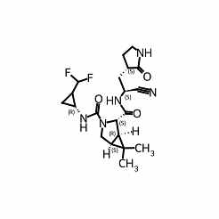 CC1(C)[C@@H]2[C@@H](C(=O)N[C@H](C#N)C[C@@H]3CCNC3=O)N(C(=O)N[C@@H]3CC3C(F)F)C[C@@H]21